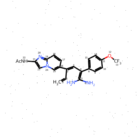 C=C/C(=C\C(=C(N)N)c1ccc(OC(F)(F)F)cc1)c1ccc2nc(NC(C)=O)cn2c1